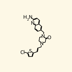 Nc1ccc2cc(CN3CCN(C/C=C/c4ccc(Cl)s4)CC3=O)ccc2n1